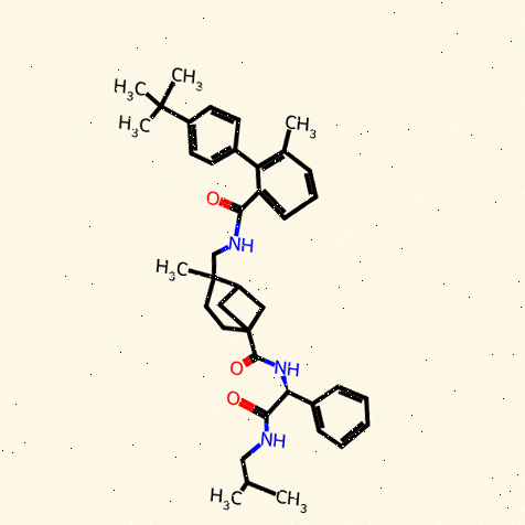 Cc1cccc(C(=O)NCC2(C)CCC3(C(=O)N[C@H](C(=O)NCC(C)C)c4ccccc4)CC2C3)c1-c1ccc(C(C)(C)C)cc1